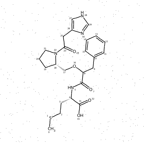 CSCC[C@H](NC(=O)C(Cc1ccccc1)OC[C@@H]1CCCN1C(=O)Cc1c[nH]cn1)C(=O)O